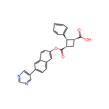 O=C(O)[C@H]1C[C@@H](C(=O)Oc2ccc3cc(-c4cncnc4)ccc3c2)[C@H]1c1ccccc1